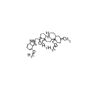 COC[C@]12CC[C@H](C)CC1CC[C@@H]1C2CC[C@@]2(C)C1CC[C@@H]2C(=O)Cn1nc2cccc(OC)c2n1